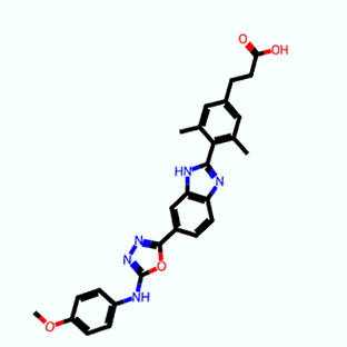 COc1ccc(Nc2nnc(-c3ccc4nc(-c5c(C)cc(CCC(=O)O)cc5C)[nH]c4c3)o2)cc1